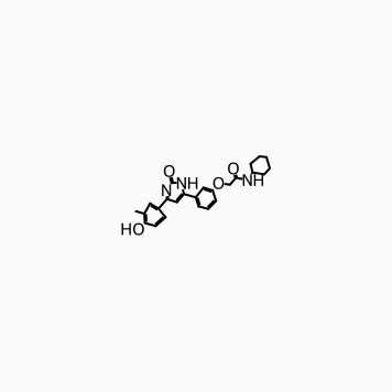 Cc1cc(-c2cc(-c3cccc(OCC(=O)NC4CCCCC4)c3)[nH]c(=O)n2)ccc1O